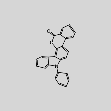 O=c1oc2c(ccc3c2c2ccccc2n3-c2ccccc2)c2ccccc12